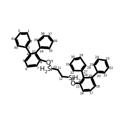 c1ccc(-c2cccc(O[SiH2]CC[SiH2]Oc3cccc(-c4ccccc4)c3-c3ccccc3)c2-c2ccccc2)cc1